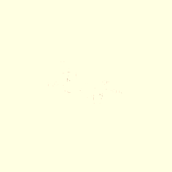 CC(C)N1CCC12CCC(C1CC3(CCOC3)N1C(C)C)OC2